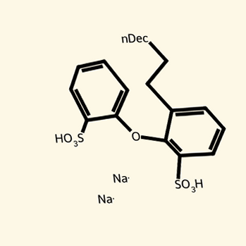 CCCCCCCCCCCCc1cccc(S(=O)(=O)O)c1Oc1ccccc1S(=O)(=O)O.[Na].[Na]